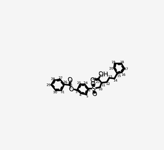 O=C(Oc1ccc(S(=O)(=O)CC(CCCc2ccccc2)C(=O)O)cc1)c1ccccc1